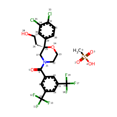 CS(=O)(=O)O.O=C(c1cc(C(F)(F)F)cc(C(F)(F)F)c1)N1CCO[C@](CCO)(c2ccc(Cl)c(Cl)c2)C1